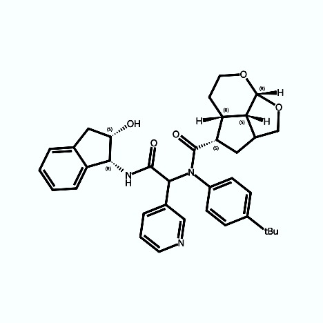 CC(C)(C)c1ccc(N(C(=O)[C@H]2CC3CO[C@H]4OCC[C@@H]2[C@@H]34)C(C(=O)N[C@@H]2c3ccccc3C[C@@H]2O)c2cccnc2)cc1